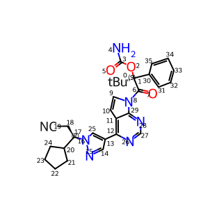 CC(C)(C)[C@@](OC(N)=O)(C(=O)n1ccc2c(-c3cnn([C@H](CC#N)C4CCCC4)c3)ncnc21)c1ccccc1